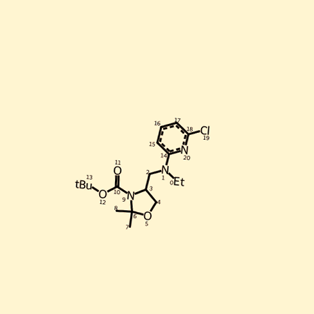 CCN(CC1COC(C)(C)N1C(=O)OC(C)(C)C)c1cccc(Cl)n1